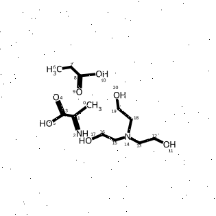 CC(=N)C(=O)O.CCC(=O)O.OCCN(CCO)CCO